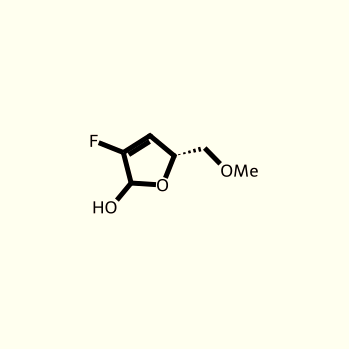 COC[C@H]1C=C(F)C(O)O1